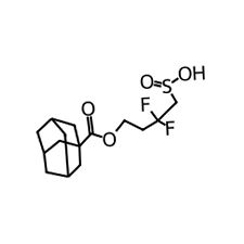 O=C(OCCC(F)(F)CS(=O)O)C12CC3CC(CC(C3)C1)C2